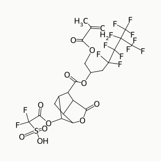 C=C(C)C(=O)OCC(CC(F)(F)C(F)(F)C(F)(C(F)(F)F)C(F)(F)F)OC(=O)C1C2CC3C(OC(=O)C31)C2OC(=O)C(F)(F)S(=O)(=O)O